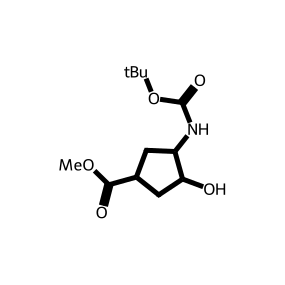 COC(=O)C1CC(O)C(NC(=O)OC(C)(C)C)C1